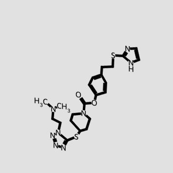 CN(C)CCn1nnnc1SC1CCN(C(=O)Oc2ccc(CCSc3ncc[nH]3)cc2)CC1